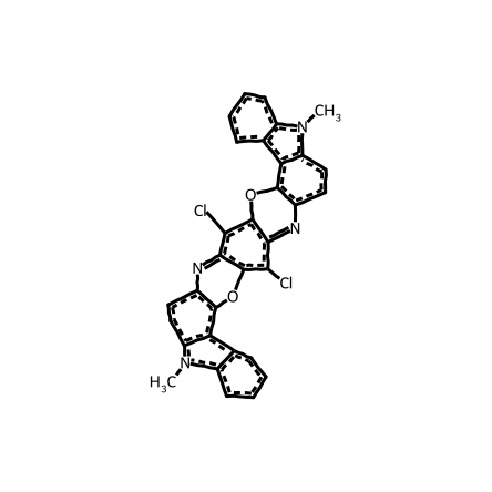 Cn1c2ccccc2c2c3c(ccc21)N=c1c(Cl)c2c(c(Cl)c1O3)=Nc1ccc3c(c1O2)c1ccccc1n3C